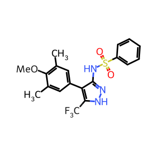 COc1c(C)cc(-c2c(NS(=O)(=O)c3ccccc3)n[nH]c2C(F)(F)F)cc1C